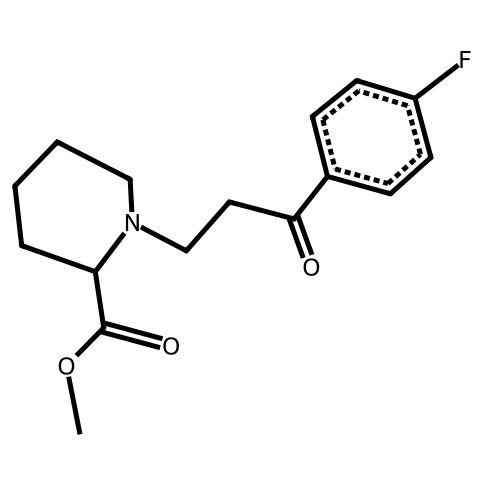 COC(=O)C1CCCCN1CCC(=O)c1ccc(F)cc1